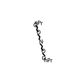 CCCOCCOCCC[N]CCCOCCOCCC